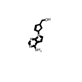 Nc1ncnc2c1ccn2C1C=CC(CO)C1